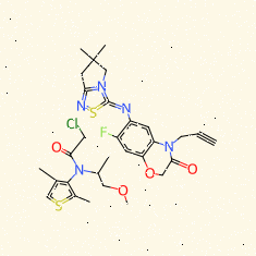 C#CCN1C(=O)COc2cc(F)c(/N=c3\snc4n3CC(C)(C)C4)cc21.COCC(C)N(C(=O)CCl)c1c(C)csc1C